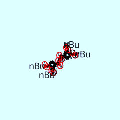 CCCCOOc1ccc(C(=O)OOC(=O)c2ccc(OOCCCC)c(OOCCCC)c2)cc1OOCCCC